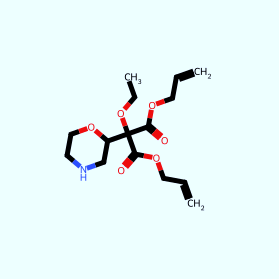 C=CCOC(=O)C(OCC)(C(=O)OCC=C)C1CNCCO1